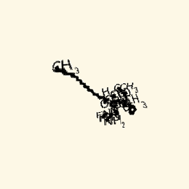 C#C[C@]1(COP(=O)(N[C@@H](C)C(=O)OC(C)C)Oc2ccccc2)O[C@@H](n2cnc3c(N)nc(F)nc32)C[C@@H]1OC(=O)CCCCCCCCCCCCCCCCCCC